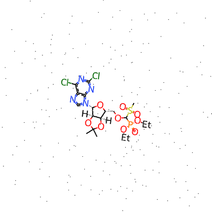 CCOP(=O)(OCC)C(OC[C@H]1O[C@@H](n2cnc3c(Cl)nc(Cl)nc32)[C@@H]2OC(C)(C)O[C@@H]21)S(C)(=O)=O